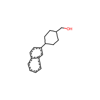 OCC1CCC(c2ccc3ccccc3c2)CC1